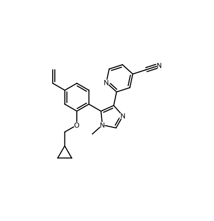 C=Cc1ccc(-c2c(-c3cc(C#N)ccn3)ncn2C)c(OCC2CC2)c1